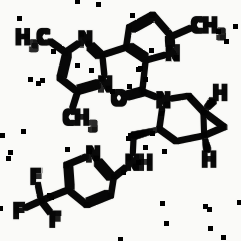 Cc1cc(C)nc(-c2ccc(C)nc2C(=O)N2C[C@@H]3C[C@@H]3C[C@H]2CNc2ccc(C(F)(F)F)cn2)n1